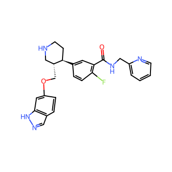 O=C(NCc1ccccn1)c1cc([C@@H]2CCNC[C@H]2COc2ccc3cn[nH]c3c2)ccc1F